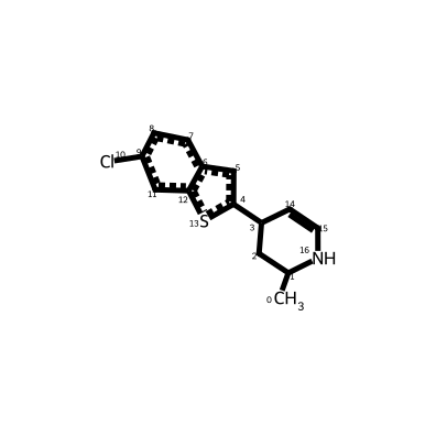 CC1CC(c2cc3ccc(Cl)cc3s2)C=CN1